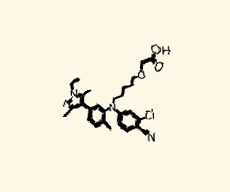 CCn1nc(C)c(-c2ccc(C)c(N(CCCCCOCC(=O)O)c3ccc(C#N)c(Cl)c3)c2)c1C